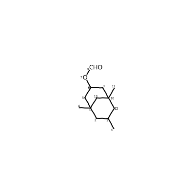 CC1CC2(C)CC(OC=O)CC(C)(C1)C2